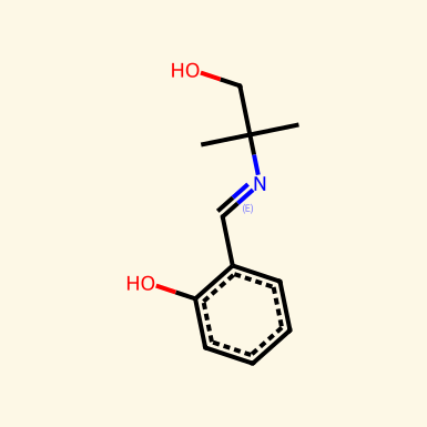 CC(C)(CO)/N=C/c1ccccc1O